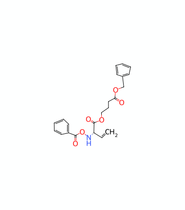 C=C[C@H](NOC(=O)c1ccccc1)C(=O)OCCCC(=O)OCc1ccccc1